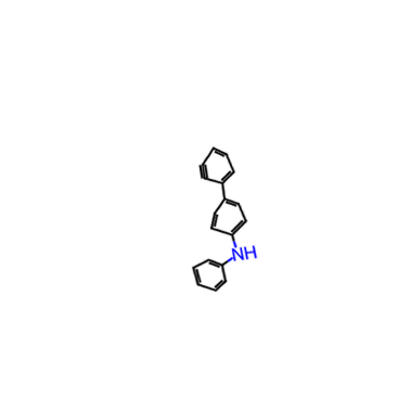 c1cccc(-c2ccc(Nc3ccccc3)cc2)c#1